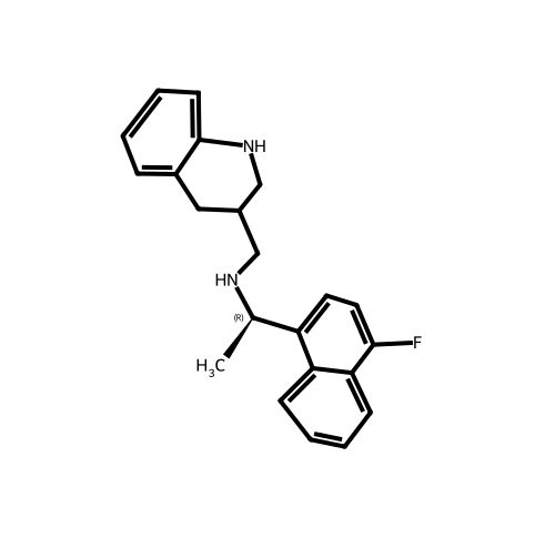 C[C@@H](NCC1CNc2ccccc2C1)c1ccc(F)c2ccccc12